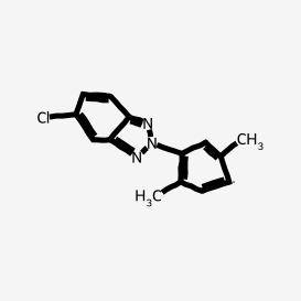 Cc1[c]cc(C)c(-n2nc3ccc(Cl)cc3n2)c1